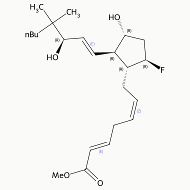 CCCCC(C)(C)[C@H](O)/C=C/[C@@H]1[C@@H](C/C=C\C/C=C/C(=O)OC)[C@H](F)C[C@H]1O